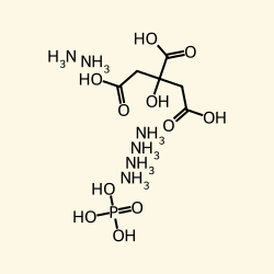 N.N.N.N.N.N.O=C(O)CC(O)(CC(=O)O)C(=O)O.O=P(O)(O)O